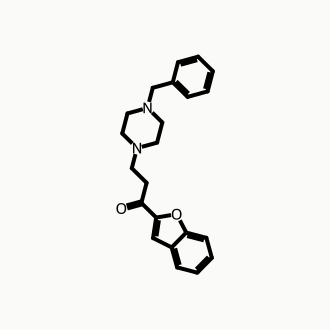 O=C(CCN1CCN(Cc2ccccc2)CC1)c1cc2ccccc2o1